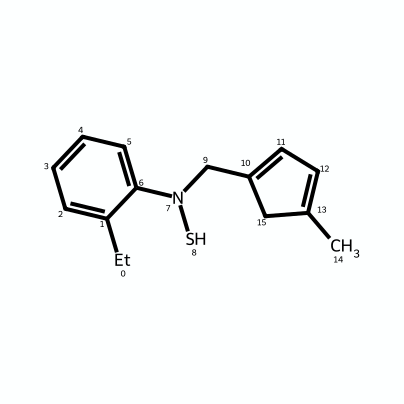 CCc1ccccc1N(S)CC1=CC=C(C)C1